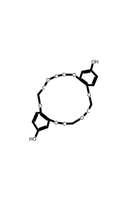 Oc1ccc2c(c1)OCCOCCOc1ccc(O)cc1OCCOCCO2